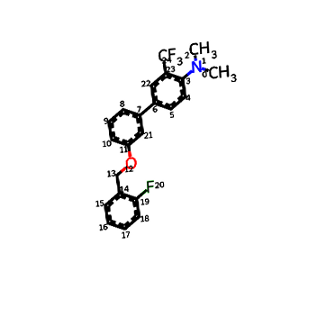 CN(C)c1ccc(-c2cccc(OCc3ccccc3F)c2)cc1C(F)(F)F